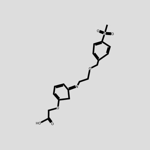 CS(=O)(=O)c1ccc(COCCN=C2C=CC=C(OCC(=O)O)C2)cc1